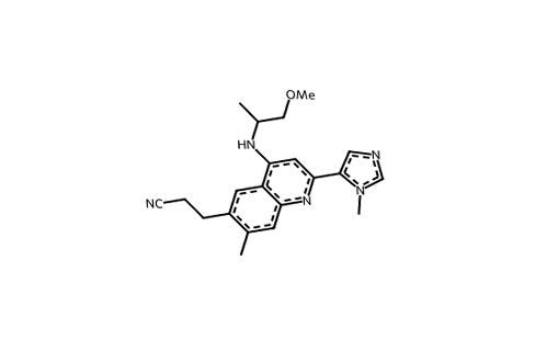 COCC(C)Nc1cc(-c2cncn2C)nc2cc(C)c(CCC#N)cc12